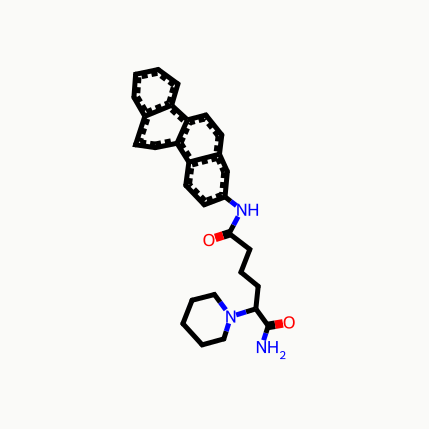 NC(=O)C(CCCC(=O)Nc1ccc2c(ccc3c4ccccc4ccc23)c1)N1CCCCC1